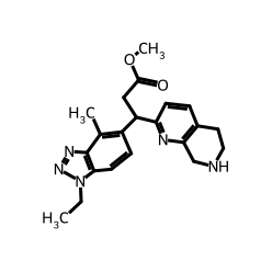 CCn1nnc2c(C)c(C(CC(=O)OC)c3ccc4c(n3)CNCC4)ccc21